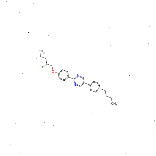 CCCCc1ccc(-c2cnc(-c3ccc(OCC(F)CCC)cc3)nc2)cc1